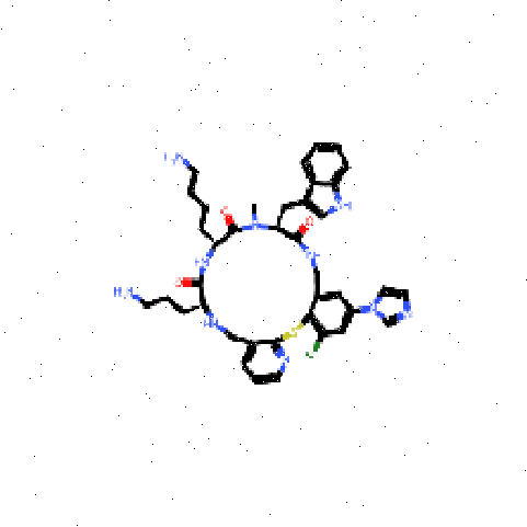 CN1C(=O)[C@H](CCCCN)NC(=O)[C@H](CCCN)NCc2cccnc2Sc2c(Cl)cc(-n3ccnc3)cc2CNC(=O)[C@@H]1Cc1c[nH]c2ccccc12